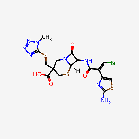 Cn1nnnc1SCC1(C(=O)O)CS[C@@H]2C(NC(=O)C(=CBr)c3csc(N)n3)C(=O)N2C1